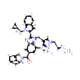 C/N=C/Cn1cc(Cn2c(-c3cc4ccccc4n3CC3CC3)nc3cc(C(=O)N4CC5CC6CC4[C@H]65)cc(OC)c32)cn1